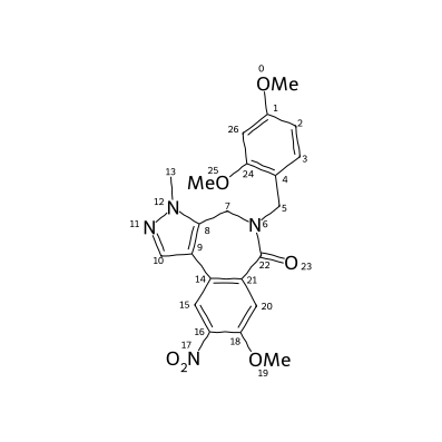 COc1ccc(CN2Cc3c(cnn3C)-c3cc([N+](=O)[O-])c(OC)cc3C2=O)c(OC)c1